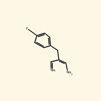 N=C/C(=C\N)Cc1ccc(F)cc1